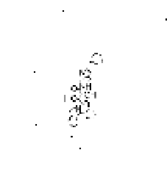 O=C(NCc1nc(Cc2ccccc2)cs1)[C@H](O)[C@@H](O)C(=O)N1CCc2ccccc2C1C1CCCCC1